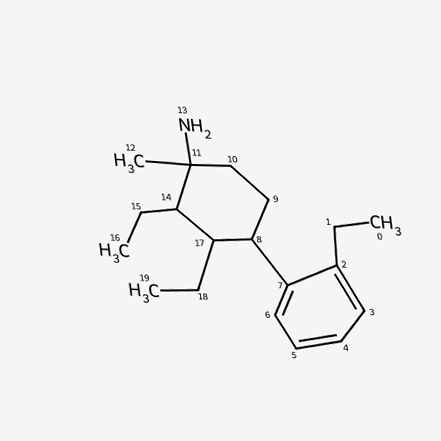 CCc1ccccc1C1CCC(C)(N)C(CC)C1CC